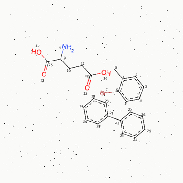 Cc1ccccc1Br.NC(CCC(=O)O)C(=O)O.c1ccc(-c2ccccc2)cc1